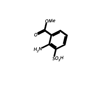 COC(=O)c1cccc(S(=O)(=O)O)c1N